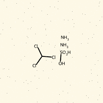 ClC(Cl)Cl.N.N.O=S(=O)(O)O